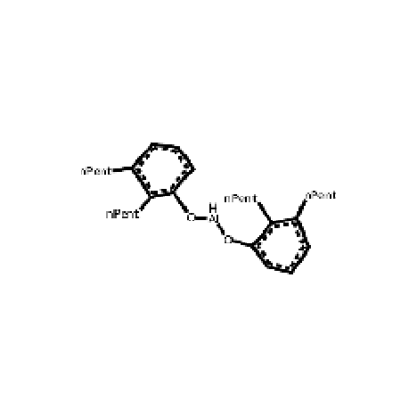 CCCCCc1cccc([O][AlH][O]c2cccc(CCCCC)c2CCCCC)c1CCCCC